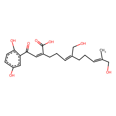 C/C(=C\CC/C(=C/CC/C(=C/C(=O)c1cc(O)ccc1O)C(=O)O)CO)CO